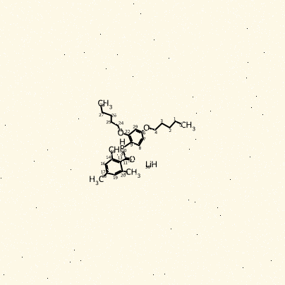 CCCCCOc1ccc(PC(=O)c2c(C)cc(C)cc2C)c(OCCCCC)c1.[LiH]